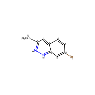 COc1cc2ccc(Br)cc2nn1